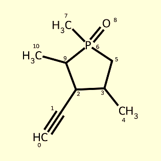 C#CC1C(C)CP(C)(=O)C1C